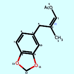 CC(=O)O/C=C(/C)Cc1ccc2c(c1)OCO2